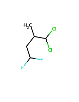 [CH2]C(CC(F)F)C(Cl)Cl